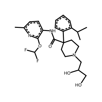 Cc1ccc(NC(=O)C2(c3ccccc3C(C)C)CCN(CC(O)CO)CC2)c(OC(F)F)n1